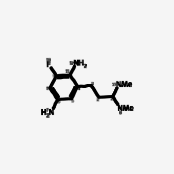 CNC(CCc1cc(N)cc(F)c1N)NC